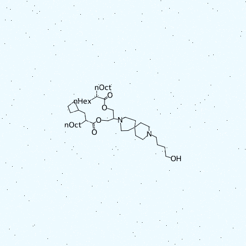 CCCCCCCCC(CCCCCC)C(=O)OCC(COC(=O)C(CCCCCCCC)CC1CCC1)N1CCC2(CCN(CCCCO)CC2)CC1